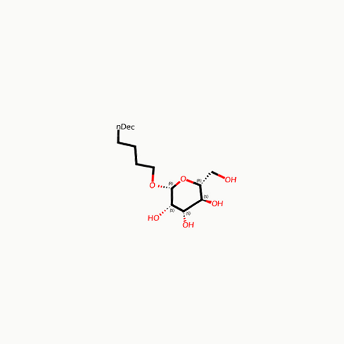 CCCCCCCCCCCCCCO[C@@H]1O[C@H](CO)[C@@H](O)[C@H](O)[C@@H]1O